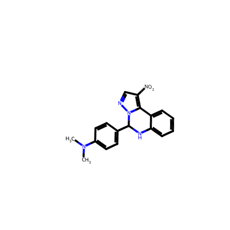 CN(C)c1ccc(C2Nc3ccccc3-c3c([N+](=O)[O-])cnn32)cc1